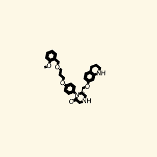 COc1ccccc1COCCCOc1ccc(N2C(=O)CNC[C@@H]2COc2ccc3c(c2)NCCC3)cc1